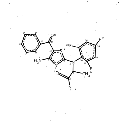 CC(C(N)=O)N(c1nc(N)c(C(=O)c2ccccc2)s1)c1c(F)cc(F)cc1F